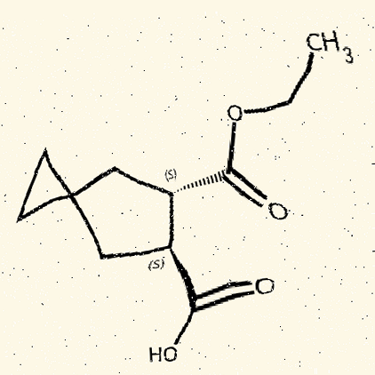 CCOC(=O)[C@H]1CC2(CC2)C[C@@H]1C(=O)O